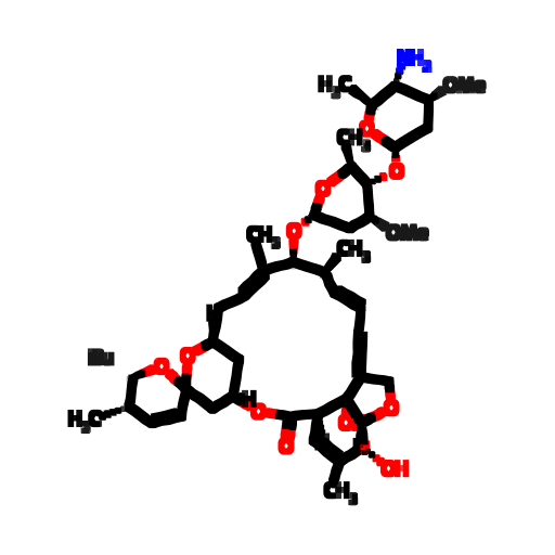 CC[C@H](C)[C@H]1OC2(C=C[C@@H]1C)C[C@@H]1C[C@@H](C/C=C(\C)[C@@H](O[C@H]3C[C@H](OC)[C@@H](O[C@H]4C[C@H](OC)[C@@H](N)[C@H](C)O4)[C@H](C)O3)[C@@H](C)/C=C/C=C3\CO[C@@H]4[C@H](O)C(C)=C[C@@H](C(=O)O1)[C@]34O)O2